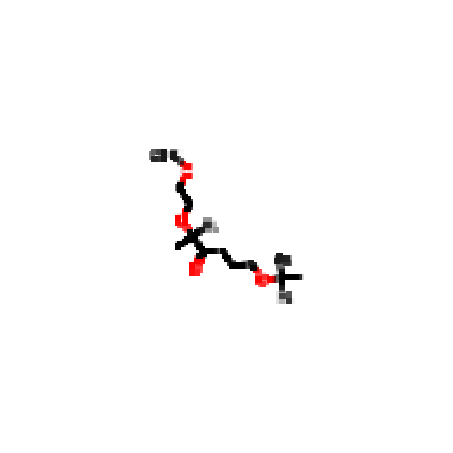 CCC(C)(OCCCC(=O)C(C)(CC)OCCOC=O)C(C)=O